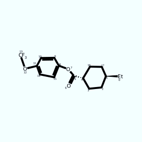 CC[C@H]1CC[C@H](C(=O)Oc2ccc(OC(F)(F)F)cc2)CC1